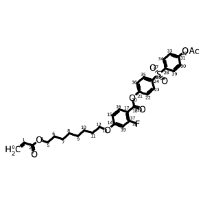 C=CC(=O)OCCCCCCCCOc1ccc(C(=O)Oc2ccc(S(=O)(=O)c3ccc(OC(C)=O)cc3)cc2)c(F)c1